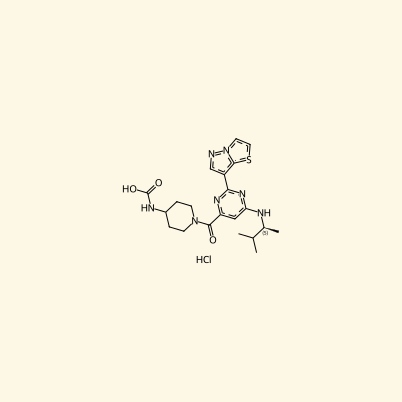 CC(C)[C@H](C)Nc1cc(C(=O)N2CCC(NC(=O)O)CC2)nc(-c2cnn3ccsc23)n1.Cl